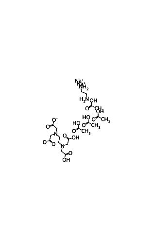 CC(=O)O.CC(=O)O.CC(=O)O.CC(=O)O.NCCN.O=C([O-])CN(CCN(CC(=O)O)CC(=O)O)CC(=O)[O-].[Na+].[Na+]